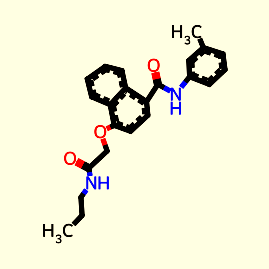 CCCNC(=O)COc1ccc(C(=O)Nc2cccc(C)c2)c2ccccc12